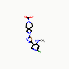 CNc1cc(Cl)ncc1-c1nnc(N2CC3(CCN(C(=O)O)CC3)C2)s1